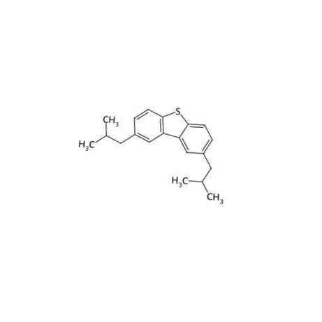 CC(C)Cc1ccc2sc3ccc(CC(C)C)cc3c2c1